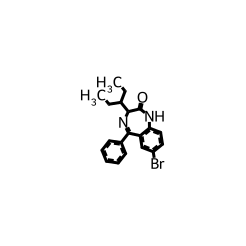 CCC(CC)C1N=C(c2ccccc2)c2cc(Br)ccc2NC1=O